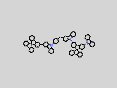 c1ccc2c(c1)-c1ccccc1C21c2ccccc2-c2cc(-c3ccc4c(c3)c3ccccc3n4-c3ccc(Cc4ccc5c(c4)c4ccccc4n5-c4ccc5c(c4)-c4cc(-n6c7ccccc7c7ccccc76)ccc4C54c5ccccc5-c5ccccc54)cc3)ccc21